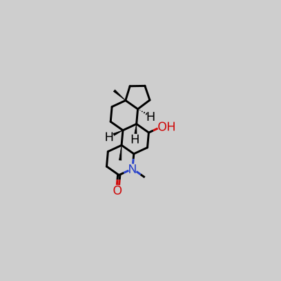 CN1C(=O)CC[C@@]2(C)C1CC(O)[C@@H]1[C@H]2CC[C@]2(C)CCC[C@@H]12